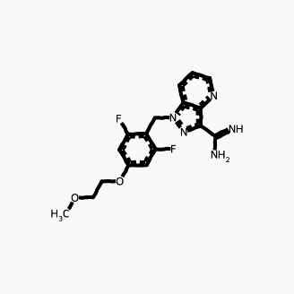 COCCOc1cc(F)c(Cn2nc(C(=N)N)c3ncccc32)c(F)c1